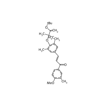 C=C(OC(C)(C)C)C(C)(C)Oc1c(C)cc(/C=C/C(=O)c2ccc(OC)c(C)c2)cc1C